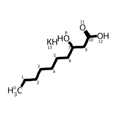 CCCCCCCC(O)CC(=O)O.[KH]